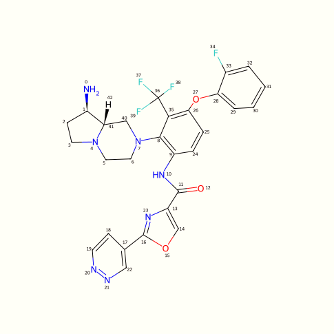 N[C@@H]1CCN2CCN(c3c(NC(=O)c4coc(-c5ccnnc5)n4)ccc(Oc4ccccc4F)c3C(F)(F)F)C[C@@H]12